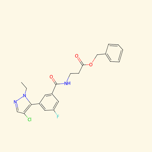 CCn1ncc(Cl)c1-c1cc(F)cc(C(=O)NCCC(=O)OCc2ccccc2)c1